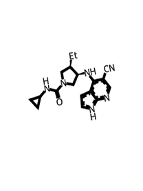 CC[C@@H]1CN(C(=O)NC2CC2)C[C@@H]1Nc1c(C#N)cnc2[nH]ccc12